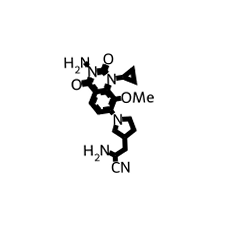 COc1c(N2CCC(CC(N)C#N)C2)ccc2c(=O)n(N)c(=O)n(C3CC3)c12